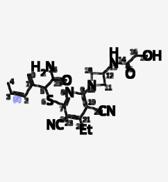 C=C(/C=C\C)C(Sc1nc(N2CC(NC(=O)CO)C2)c(C#N)c(CC)c1C#N)C(N)=O